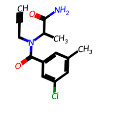 C#CCN(C(=O)c1cc(C)cc(Cl)c1)C(C)C(N)=O